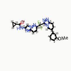 COc1cccc(-c2ccc3nnc(C(F)(F)c4ccc5nc(NC(=O)C6CC6)cn5n4)n3c2)c1